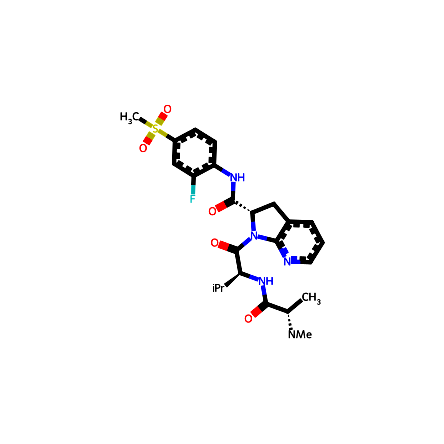 CN[C@@H](C)C(=O)N[C@H](C(=O)N1c2ncccc2C[C@H]1C(=O)Nc1ccc(S(C)(=O)=O)cc1F)C(C)C